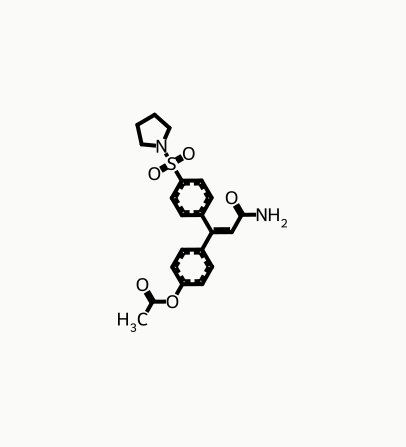 CC(=O)Oc1ccc(C(=CC(N)=O)c2ccc(S(=O)(=O)N3CCCC3)cc2)cc1